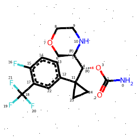 NC(=O)O[C@@H]([C@H]1COCCN1)C1(c2ccc(F)c(C(F)(F)F)c2)CC1